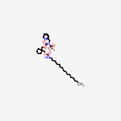 CCCCCCCCCCCCCCCCNC(=O)OCC1(COC(=O)N(Cc2ccccn2)C(C)=O)CCCC1